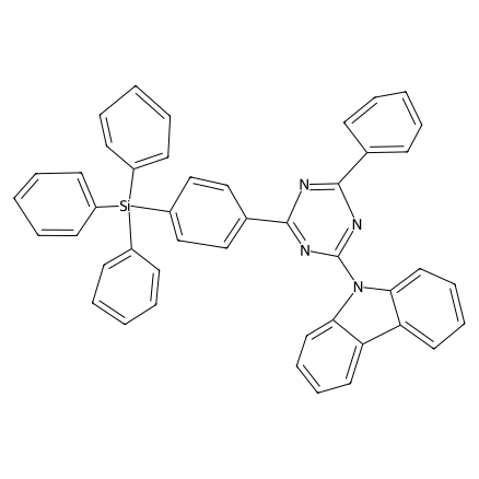 c1ccc(-c2nc(-c3ccc([Si](c4ccccc4)(c4ccccc4)c4ccccc4)cc3)nc(-n3c4ccccc4c4ccccc43)n2)cc1